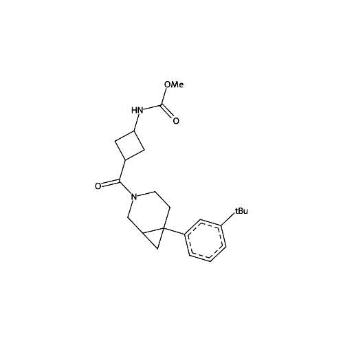 COC(=O)NC1CC(C(=O)N2CCC3(c4cccc(C(C)(C)C)c4)CC3C2)C1